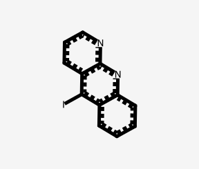 Ic1c2ccccc2nc2ncccc12